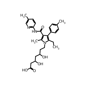 CCc1c(-c2ccc(C)cc2)c(C(=O)Nc2ccc(C)cn2)c(C)n1CCC(O)CC(O)CC(=O)O